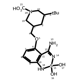 CC(C)(C)C1CC(COc2cccc3c2C(N)=NS(O)(O)N3)CN(C(=O)O)C1